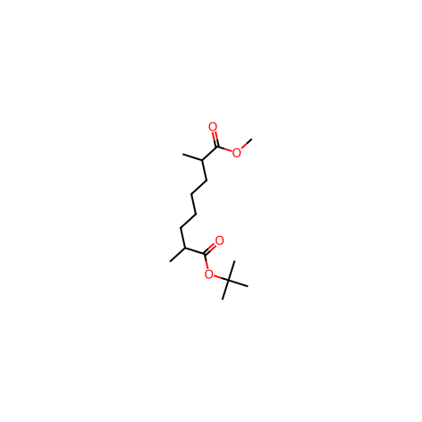 COC(=O)C(C)CCCCC(C)C(=O)OC(C)(C)C